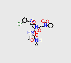 CCC[C@H](NC(=O)[C@@H]1C[C@]2(CC(c3cccc(Cl)c3)=NO2)CN1C(=O)CCn1c(=O)oc2ccccc21)C(=O)C(=O)NC1CC1